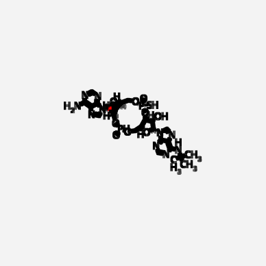 CC(C)(C)Nc1ncnc2c1ncn2[C@@H]1O[C@@H]2CO[PH](=O)O[C@@H]3[C@H](O)[C@@H](CO[P@](=O)(S)O[C@H]2[C@H]1O)O[C@H]3n1cnc2c(N)ncnc21